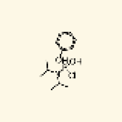 CC(C)N(C(C)C)[PH](O)(Cl)Oc1ccccc1